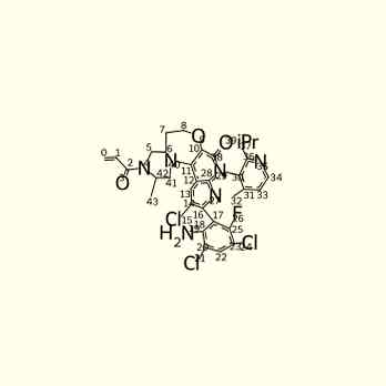 C=CC(=O)N1CC2CCOc3c(c4cc(Cl)c(-c5c(N)c(Cl)cc(Cl)c5F)nc4n(-c4c(C)ccnc4C(C)C)c3=O)N2CC1C